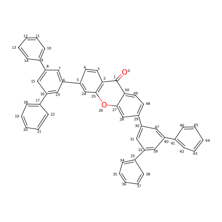 O=c1c2ccc(-c3cc(-c4ccccc4)cc(-c4ccccc4)c3)cc2oc2cc(-c3cc(-c4ccccc4)cc(-c4ccccc4)c3)ccc12